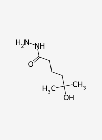 CC(C)(O)CCCC(=O)NN